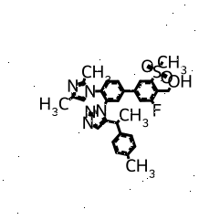 Cc1ccc(C(C)c2cnnn2-c2cc(-c3cc(F)c(CO)c(S(C)(=O)=O)c3)ccc2-n2cc(C)nc2C)cc1